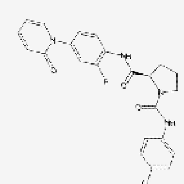 O=C(Nc1ccc(-n2ccccc2=O)cc1F)[C@H]1CCCN1C(=O)Nc1ccc(Cl)cc1